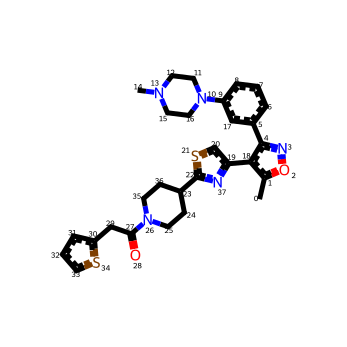 Cc1onc(-c2cccc(N3CCN(C)CC3)c2)c1-c1csc(C2CCN(C(=O)Cc3cccs3)CC2)n1